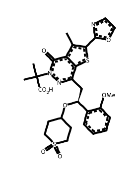 COc1ccccc1[C@H](Cc1nn(C(C)(C)C(=O)O)c(=O)c2c(C)c(-c3ncco3)sc12)OC1CCS(=O)(=O)CC1